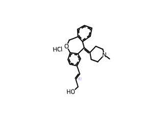 CN1CCC(=C2c3ccccc3COc3ccc(/C=C/CO)cc32)CC1.Cl